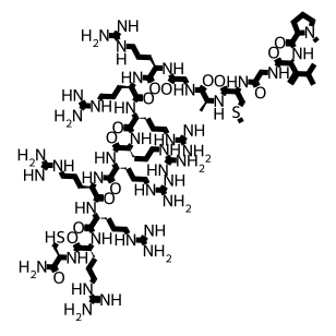 C=C(C(C)C)[C@H](NC(=O)C1CCCN1C)C(=O)NCC(=O)NC(CSC)C(=O)N[C@@H](C)C(=O)NCC(=O)N[C@H](CCCNC(=N)N)C(=O)N[C@H](CCCNC(=N)N)C(=O)N[C@H](CCCNC(=N)N)C(=O)N[C@H](CCCNC(=N)N)C(=O)N[C@H](CCCNC(=N)N)C(=O)N[C@H](CCCNC(=N)N)C(=O)N[C@H](CCCNC(=N)N)C(=O)N[C@H](CCCNC(=N)N)C(=O)N[C@H](CS)C(N)=O